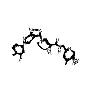 Cc1ccc(-n2cc3c(N4CCNC(C(=O)NCc5cc(C)c(Br)cn5)C4)ncnc3n2)cc1F